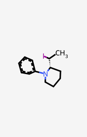 CC(I)[C@@H]1CCCCN1c1ccccc1